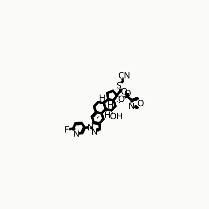 C[C@]12Cc3cnn(-c4ccc(F)nc4)c3C=C1CC[C@@H]1[C@@H]2[C@@H](O)C[C@@]2(C)[C@H]1CC[C@]2(OC(=O)c1cocn1)C(=O)SCC#N